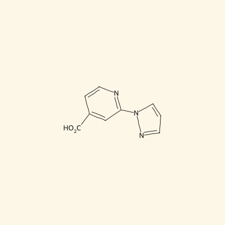 O=C(O)c1ccnc(-n2cccn2)c1